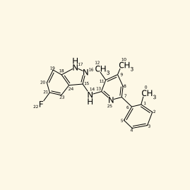 Cc1ccccc1-c1cc(C)c(C)c(Nc2n[nH]c3ccc(F)cc23)n1